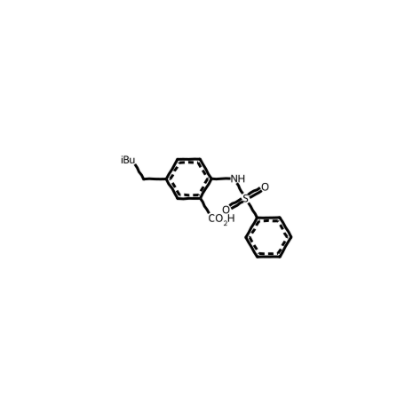 CCC(C)Cc1ccc(NS(=O)(=O)c2ccccc2)c(C(=O)O)c1